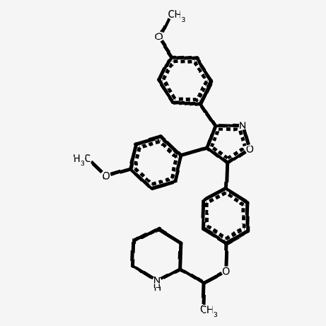 COc1ccc(-c2noc(-c3ccc(OC(C)C4CCCCN4)cc3)c2-c2ccc(OC)cc2)cc1